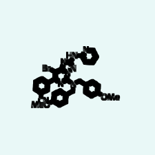 COc1ccc(CN(Cc2ccc(OC)cc2)c2nc(-c3cccc(C#N)c3)c(Br)c3nc(Nc4ccccn4)nn23)cc1